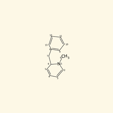 CN1C=CC=CC1Cc1ccccc1